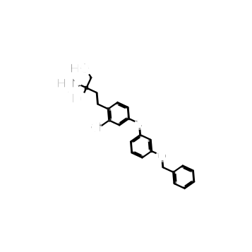 CCC(N)(CO)CCc1ccc(Sc2cccc(OCc3ccccc3)c2)cc1Cl